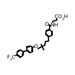 CC(C)(CCCc1ccc(C(=O)NCCC(=O)O)cc1)COc1ccc(-c2ccc(C(F)(F)F)cc2)cc1